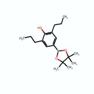 CCCc1cc(B2OC(C)(C)C(C)(C)O2)cc(CCC)c1O